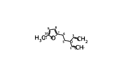 [CH]=CC(C=C)CCc1ccc(C)o1